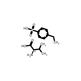 CC(C)[C@@H](N)C(=O)O.CCc1ccc(S(=O)(=O)O)cc1